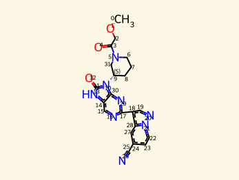 COCC(=O)N1CCC[C@H](n2c(=O)[nH]c3cnc(-c4cnn5ccc(C#N)cc45)nc32)C1